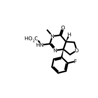 CN1C(=O)[C@@H]2COC[C@]2(c2ccccc2F)N=C1NC(=O)O